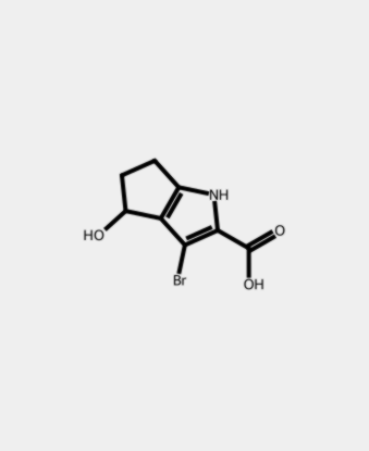 O=C(O)c1[nH]c2c(c1Br)C(O)CC2